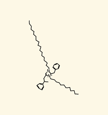 CCCCCCCCCCCCCCCCCCCn1cc(CC(C)c2ccccc2)[n+](CCCCCCCCCCCC)c1Cc1ccccc1